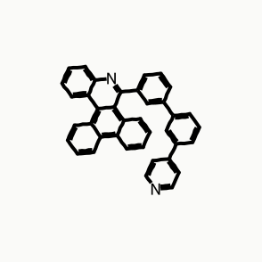 c1cc(-c2ccncc2)cc(-c2cccc(-c3nc4ccccc4c4c5ccccc5c5ccccc5c34)c2)c1